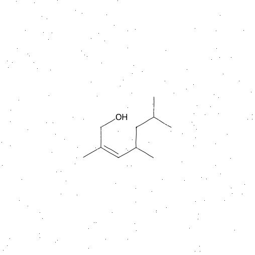 CC(=CC(C)CC(C)C)CO